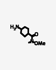 CON(C)C(=O)C1CCC(N)CC1